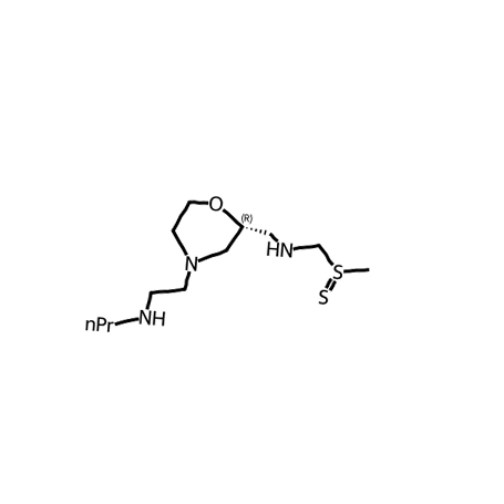 CCCNCCN1CCO[C@H](CNCS(C)=S)C1